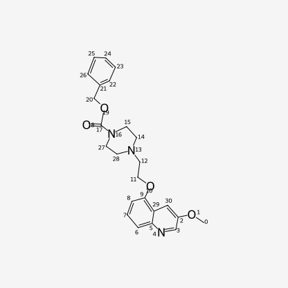 COc1cnc2cccc(OCCN3CCN(C(=O)OCc4ccccc4)CC3)c2c1